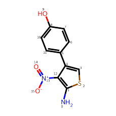 Nc1scc(-c2ccc(O)cc2)c1[N+](=O)[O-]